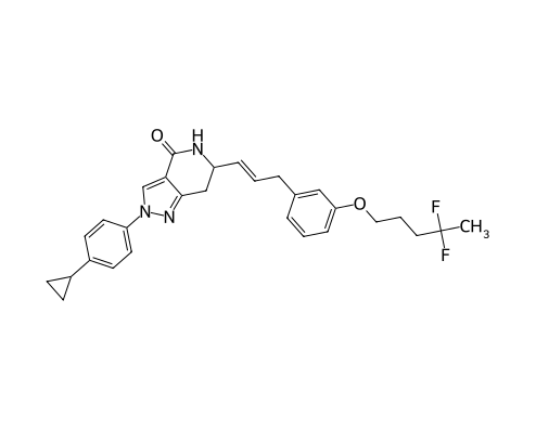 CC(F)(F)CCCOc1cccc(CC=CC2Cc3nn(-c4ccc(C5CC5)cc4)cc3C(=O)N2)c1